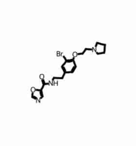 O=C(NCCc1ccc(OCCN2CCCC2)c(Br)c1)c1cnco1